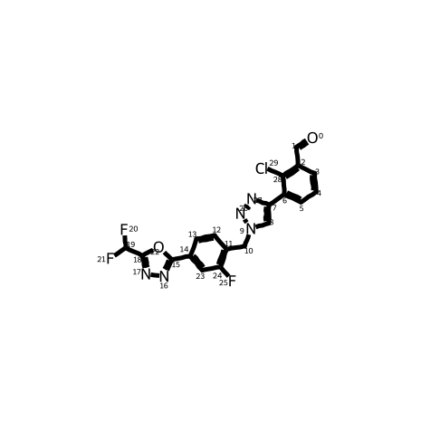 O=Cc1cccc(-c2cn(Cc3ccc(-c4nnc(C(F)F)o4)cc3F)nn2)c1Cl